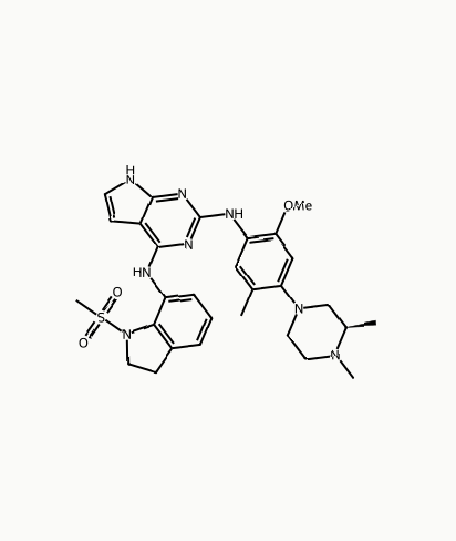 COc1cc(N2CCN(C)[C@H](C)C2)c(C)cc1Nc1nc(Nc2cccc3c2N(S(C)(=O)=O)CC3)c2cc[nH]c2n1